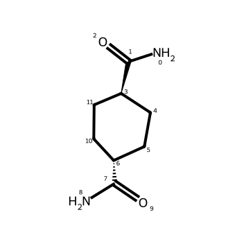 NC(=O)[C@H]1CC[C@H](C(N)=O)CC1